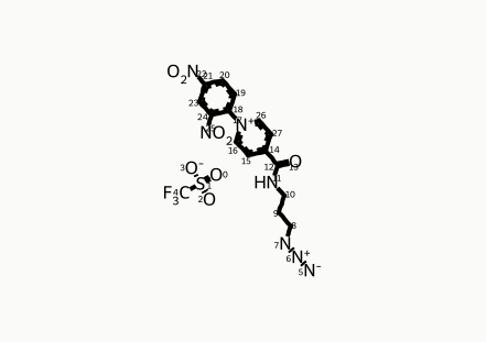 O=S(=O)([O-])C(F)(F)F.[N-]=[N+]=NCCCNC(=O)c1cc[n+](-c2ccc([N+](=O)[O-])cc2[N+](=O)[O-])cc1